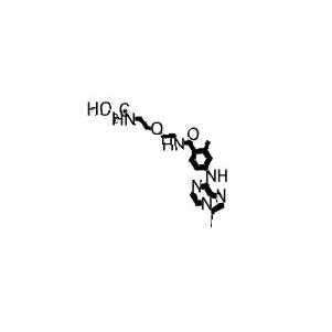 Cc1cc(Nc2nccn3c(I)cnc23)ccc1C(=O)NCCOCCNC(=O)O